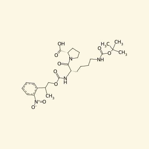 CC(COC(=O)N[C@@H](CCCCNC(=O)OC(C)(C)C)C(=O)N1CCC[C@H]1C(=O)O)c1ccccc1[N+](=O)[O-]